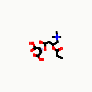 CCC(=O)OC(CC(=O)[O-])C[N+](C)(C)C.O=C(O)/C=C\C(=O)O